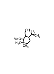 C=C(C)C1CCC(C)(C)C(OC)C1CO